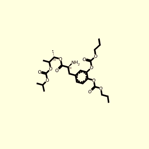 CCCOC(=O)Oc1ccc(C[C@H](N)C(=O)O[C@@H](C)C(C)OC(=O)OC(C)C)cc1OC(=O)OCCC